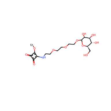 CCOc1c(NCCOCCOCCOC2O[C@H](CO)[C@@H](O)[C@H](O)[C@@H]2O)c(=O)c1=O